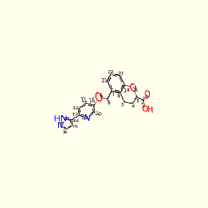 O=C(O)C1CCc2c(COc3ccc(-c4ccn[nH]4)nc3)cccc2O1